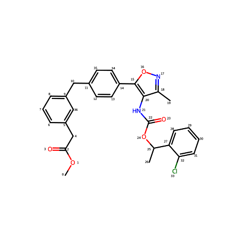 COC(=O)Cc1cccc(Cc2ccc(-c3onc(C)c3NC(=O)OC(C)c3ccccc3Cl)cc2)c1